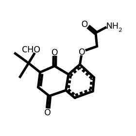 CC(C)(C=O)C1=CC(=O)c2cccc(OCC(N)=O)c2C1=O